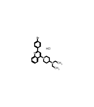 CCN(CC)C1CCN(c2cc(-c3ccc(Br)cc3)nc3ccccc23)CC1.Cl